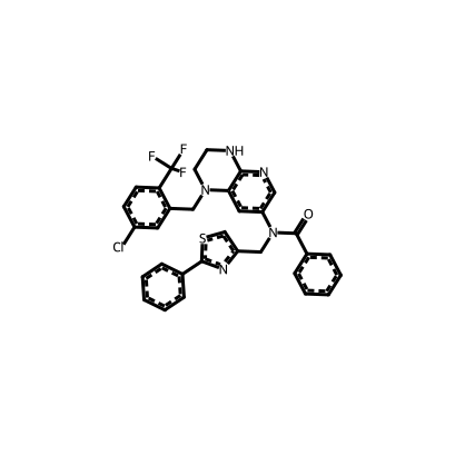 O=C(c1ccccc1)N(Cc1csc(-c2ccccc2)n1)c1cnc2c(c1)N(Cc1cc(Cl)ccc1C(F)(F)F)CCN2